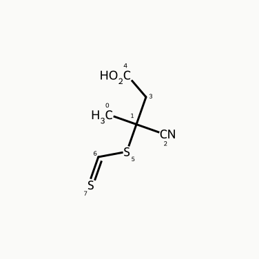 CC(C#N)(CC(=O)O)SC=S